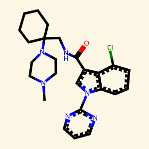 CN1CCN(C2(CNC(=O)c3cn(-c4ncccn4)c4cccc(Cl)c34)CCCCC2)CC1